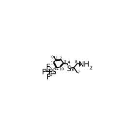 Cc1cc(CSC(C)CN)cc(SC(F)(F)F)c1